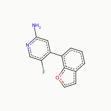 Nc1cc(-c2cccc3ccoc23)c(F)cn1